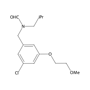 COCCOc1cc(Cl)cc(CN(C=O)CC(C)C)c1